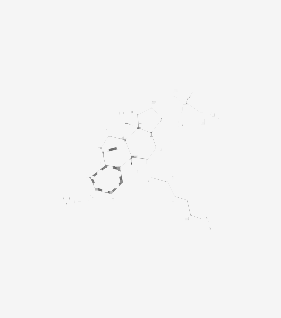 C=C[C@@]12CCc3cc(OC)ccc3[C@H]1[C@@H](CCCCCC(C)=O)C[C@]1(C)[C@@H](O[Si](C)(C)C(C)(C)C)CC[C@H]12